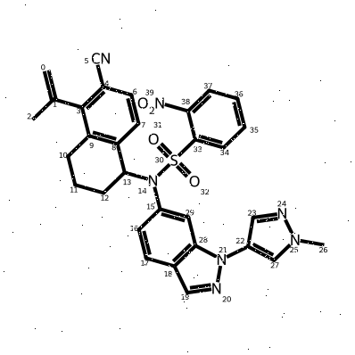 C=C(C)c1c(C#N)ccc2c1CCCC2N(c1ccc2cnn(-c3cnn(C)c3)c2c1)S(=O)(=O)c1ccccc1[N+](=O)[O-]